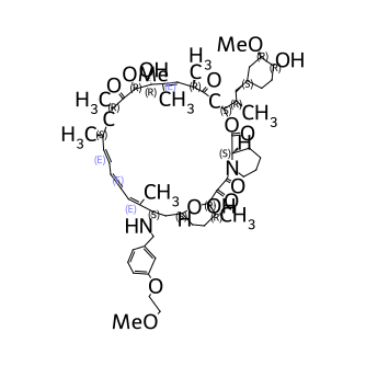 COCCOc1cccc(CN[C@H]2C[C@@H]3CC[C@@H](C)[C@@](O)(O3)C(=O)C(=O)N3CCCC[C@H]3C(=O)O[C@H]([C@H](C)C[C@@H]3CC[C@@H](O)[C@H](OC)C3)CC(=O)[C@H](C)/C=C(\C)[C@@H](O)[C@@H](OC)C(=O)[C@H](C)C[C@H](C)/C=C/C=C/C=C/2C)c1